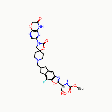 CC(C)(C)OC(=O)N[C@@H](CO)c1nc2cc3c(c(F)c2o1)CC(CN1CCC2(CC1)CN(c1cnc4c(n1)NC(=O)CO4)C(=O)O2)C3